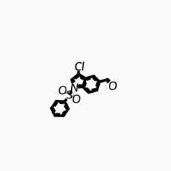 O=Cc1ccc2c(c1)c(Cl)cn2S(=O)(=O)c1ccccc1